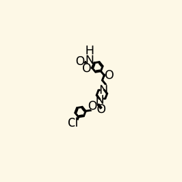 O=C(CCN1CCN(C(=O)OCc2cccc(Cl)c2)CC1)c1ccc2[nH]c(=O)oc2c1